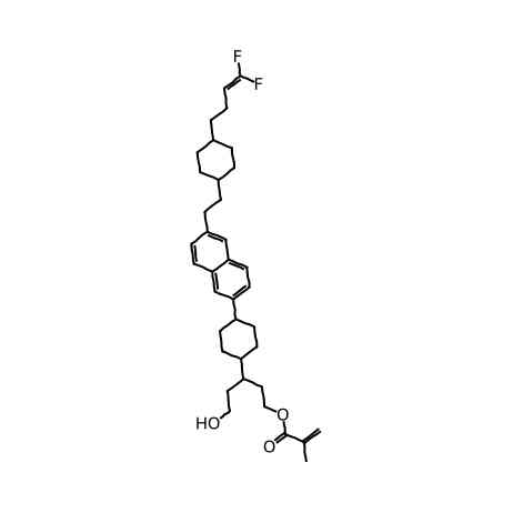 C=C(C)C(=O)OCCC(CCO)C1CCC(c2ccc3cc(CCC4CCC(CCC=C(F)F)CC4)ccc3c2)CC1